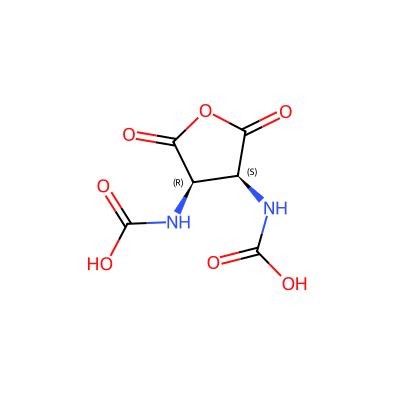 O=C(O)N[C@@H]1C(=O)OC(=O)[C@@H]1NC(=O)O